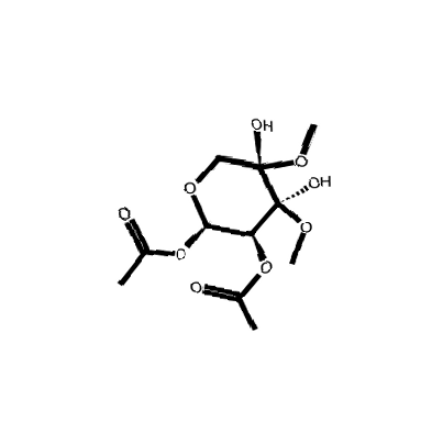 CO[C@@]1(O)[C@@H](OC(C)=O)[C@@H](OC(C)=O)OC[C@]1(O)OC